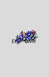 C=CC(=O)Nc1cc(Nc2cc(N3OCCC3c3cc(F)ccc3F)ncn2)c(OC)cc1N1C[C@@H](C)N(CC)[C@@H](C)C1